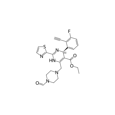 C#Cc1c(F)cccc1[C@@H]1N=C(c2nccs2)NC(CN2CCN(C=O)CC2)=C1C(=O)OCC